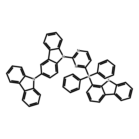 c1ccc(S(c2ccccc2)(c2ccnc(-n3c4ccccc4c4cc(-n5c6ccccc6c6ccccc65)ccc43)n2)c2cccc3c2sc2ccccc23)cc1